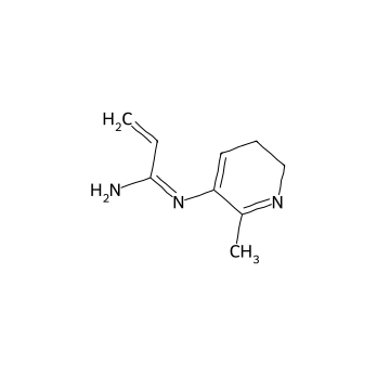 C=C/C(N)=N\C1=CCCN=C1C